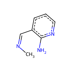 C/N=C\c1cccnc1N